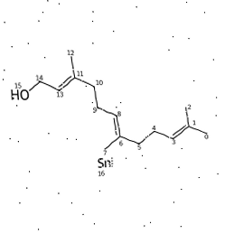 CC(C)=CCCC(C)=CCCC(C)=CCO.[Sn]